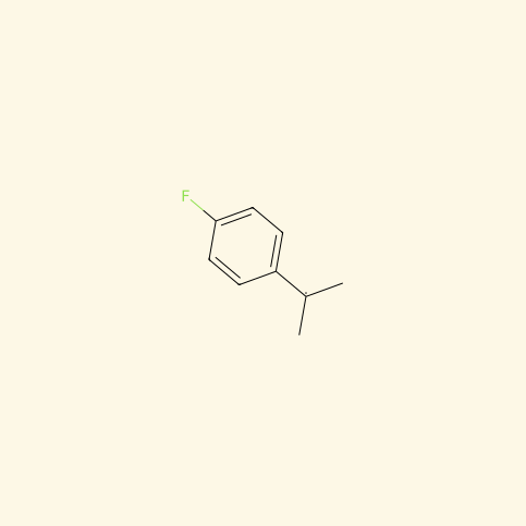 C[C](C)c1ccc(F)cc1